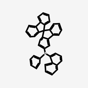 c1ccc(N(c2ccc3c(c2)-c2ccccc2C32c3ccccc3-c3ccccc32)c2cccc3ccccc23)cc1